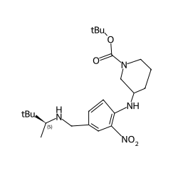 C[C@H](NCc1ccc(NC2CCCN(C(=O)OC(C)(C)C)C2)c([N+](=O)[O-])c1)C(C)(C)C